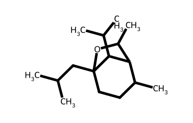 CC(C)CC12CCC(C)C(C(C)O1)C2C(C)C